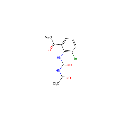 COC(=O)c1cccc(Br)c1NC(=O)NC(=O)C(Cl)(Cl)Cl